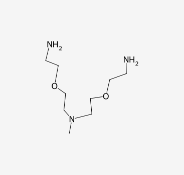 CN(CCOCCN)CCOCCN